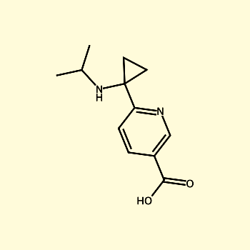 CC(C)NC1(c2ccc(C(=O)O)cn2)CC1